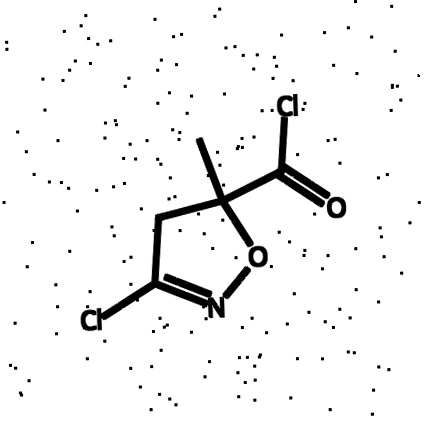 CC1(C(=O)Cl)CC(Cl)=NO1